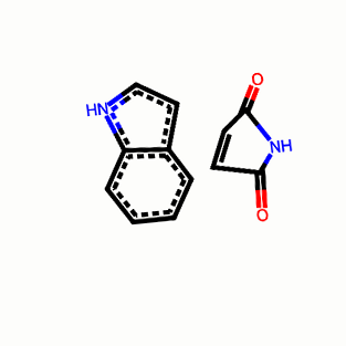 O=C1C=CC(=O)N1.c1ccc2[nH]ccc2c1